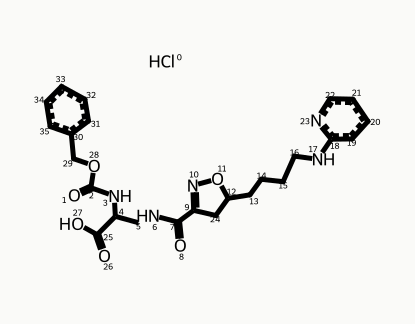 Cl.O=C(NC(CNC(=O)C1=NOC(CCCCNc2ccccn2)C1)C(=O)O)OCc1ccccc1